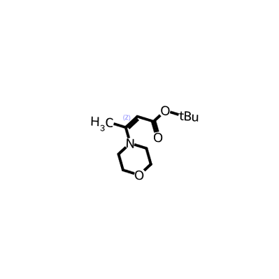 C/C(=C/C(=O)OC(C)(C)C)N1CCOCC1